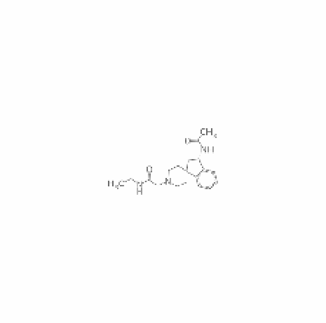 CCNC(=O)CN1CCC2(CC1)C[C@H](NC(C)=O)c1ccccc12